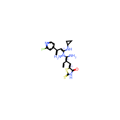 C=CC(/C=C1\SC(=S)NC1=O)=C(/N)N(N)/C(=C\C(=C)c1ccnc(F)c1)NC1CC1